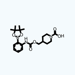 CC1(C)OB(c2ccccc2NC(=O)OCC2CCN(C(=O)O)CC2)OC1(C)C